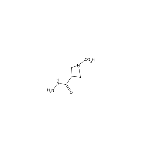 NNC(=O)C1CN(C(=O)O)C1